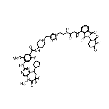 COc1cc(C(=O)NC2CCN(Cc3cn(CCNC(=O)CNc4cccc5c4C(=O)N(C4CCC(=O)NC4=O)C5=O)nn3)CC2)c(F)cc1Nc1ncc2c(n1)N(C1CCCC1)CC(F)(F)C(=O)N2C